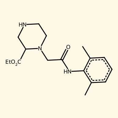 CCOC(=O)C1CNCCN1CC(=O)Nc1c(C)cccc1C